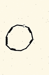 [C]1=CCCC=CC=CC=CCCC=C1